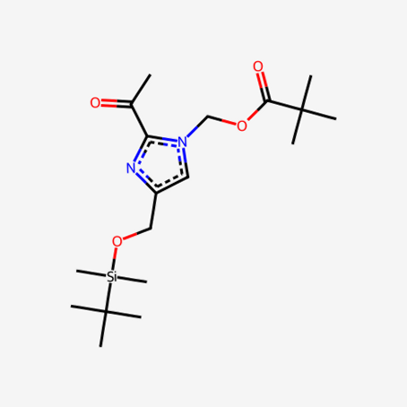 CC(=O)c1nc(CO[Si](C)(C)C(C)(C)C)cn1COC(=O)C(C)(C)C